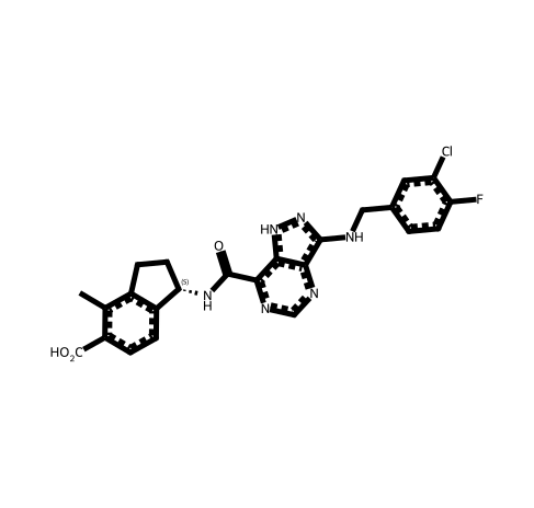 Cc1c(C(=O)O)ccc2c1CC[C@@H]2NC(=O)c1ncnc2c(NCc3ccc(F)c(Cl)c3)n[nH]c12